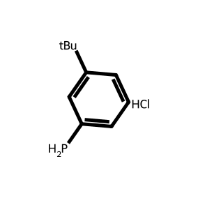 CC(C)(C)c1cccc(P)c1.Cl